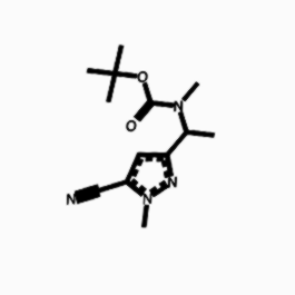 CC(c1cc(C#N)n(C)n1)N(C)C(=O)OC(C)(C)C